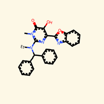 CCN(c1nc(-c2nc3ccccc3o2)c(O)c(=O)n1C)C(c1ccccc1)c1ccccc1